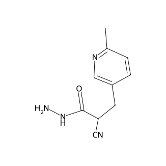 Cc1ccc(CC(C#N)C(=O)NN)cn1